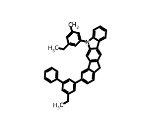 CCc1cc(-c2ccccc2)cc(-c2ccc3c(c2)-c2cc4c(cc2C3)c2ccccc2n4-c2cc(C)cc(CC)c2)c1